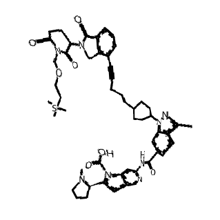 Cc1nn(C2CCC(CCCC#Cc3cccc4c3CN(C3CCC(=O)N(COCC[Si](C)(C)C)C3=O)C4=O)CC2)c2cc(C(=O)Nc3cc4c(cn3)cc([C@H]3CCCN3C)n4C(=O)O)ccc12